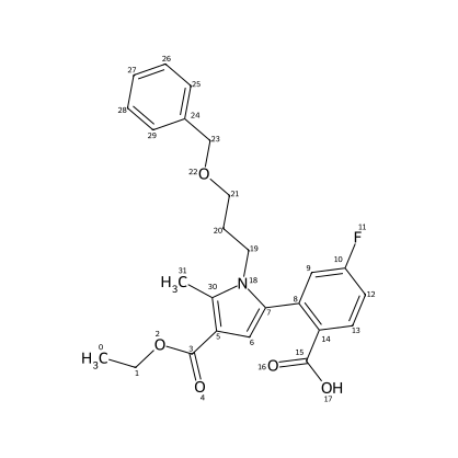 CCOC(=O)c1cc(-c2cc(F)ccc2C(=O)O)n(CCCOCc2ccccc2)c1C